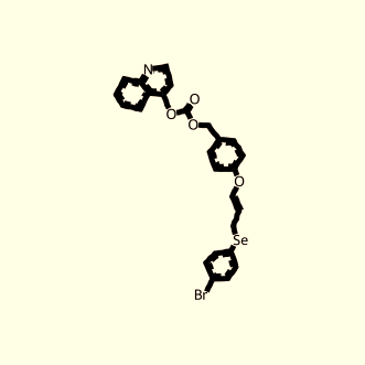 O=C(OCc1ccc(OC=CC[Se]c2ccc(Br)cc2)cc1)Oc1ccnc2ccccc12